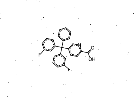 O=C(O)c1ccc(C(c2ccccc2)(c2cccc(F)c2)c2cccc(F)c2)cn1